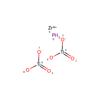 P.[O]=[Ti]([O-])[O-].[O]=[Ti]([O-])[O-].[Zr+4]